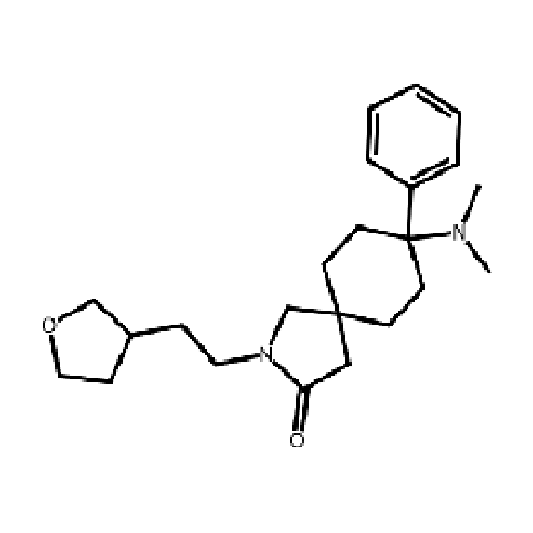 CN(C)C1(c2ccccc2)CCC2(CC1)CC(=O)N(CCC1CCOC1)C2